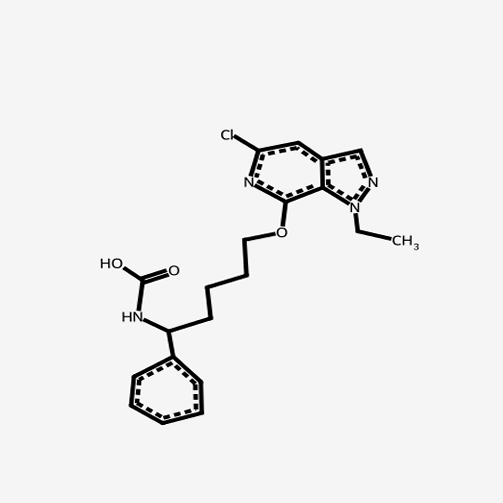 CCn1ncc2cc(Cl)nc(OCCCCC(NC(=O)O)c3ccccc3)c21